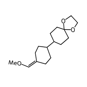 COC=C1CCC(C2CCC3(CC2)OCCO3)CC1